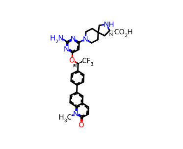 Cn1c(=O)ccc2cc(-c3ccc([C@@H](Oc4cc(N5CCC6(CC5)CN[C@H](C(=O)O)C6)nc(N)n4)C(F)(F)F)cc3)ccc21